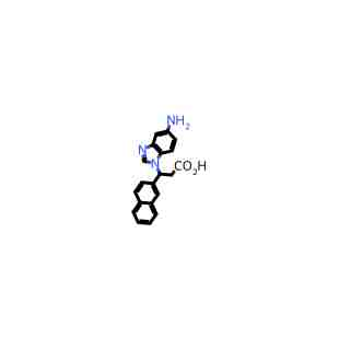 Nc1ccc2c(c1)ncn2C(CC(=O)O)c1ccc2ccccc2c1